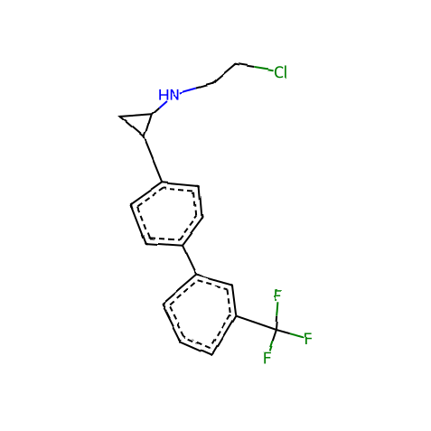 FC(F)(F)c1cccc(-c2ccc(C3CC3NCCCl)cc2)c1